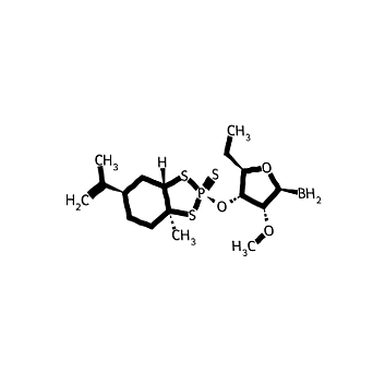 B[C@@H]1O[C@H](CC)[C@@H](O[P@@]2(=S)S[C@H]3C[C@H](C(=C)C)CC[C@]3(C)S2)[C@H]1OC